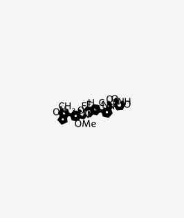 COc1cc(-c2cn(C)c(=O)c3c2CCC3)cc(OC)c1CN1Cc2cc(-c3cccc4c3n(C)c(=O)n4C3CCC(=O)NC3=O)ccc2C(F)(F)C1